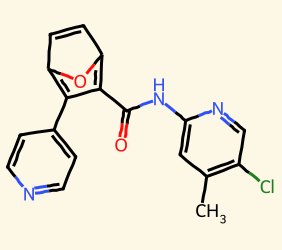 Cc1cc(NC(=O)c2c(-c3ccncc3)c3ccc2o3)ncc1Cl